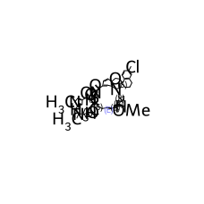 CO[C@H]1/C=C/C[C@H](C)C[S@@](=O)(NC(=O)c2cc(CN(C)C3CCOCC3)n(C)c2)=NC(=O)c2ccc3c(c2)N(C[C@@]2(CCCc4cc(Cl)ccc42)CO3)C[C@@]23CC2[C@@H]13